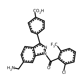 NCc1ccc2c(-c3ccc(C(=O)O)cc3)nn(C(=O)c3c(Cl)cccc3C(F)(F)F)c2c1